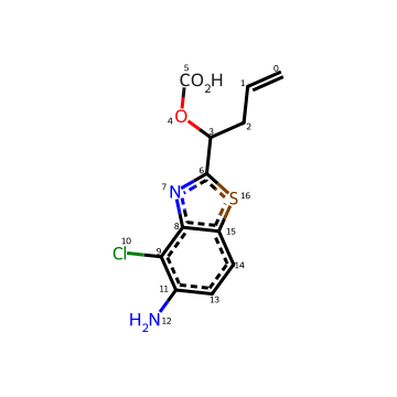 C=CCC(OC(=O)O)c1nc2c(Cl)c(N)ccc2s1